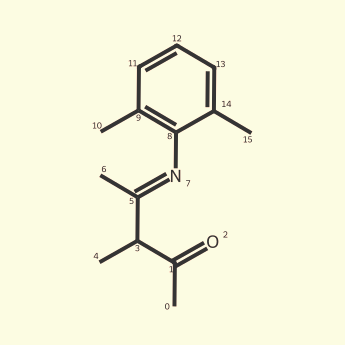 CC(=O)C(C)C(C)=Nc1c(C)cccc1C